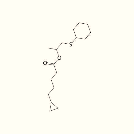 CC(CSC1CCCCC1)OC(=O)CCCCC1CC1